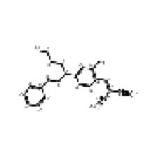 [C-]#[N+]C(=Cc1ccc(C(CCCC)CCc2ccccc2)cc1C)[N+]#[C-]